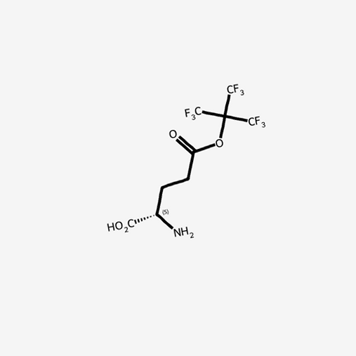 N[C@@H](CCC(=O)OC(C(F)(F)F)(C(F)(F)F)C(F)(F)F)C(=O)O